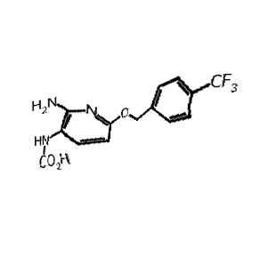 Nc1nc(OCc2ccc(C(F)(F)F)cc2)ccc1NC(=O)O